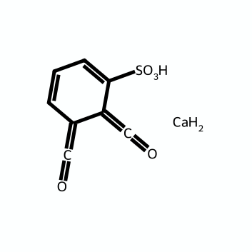 O=C=c1cccc(S(=O)(=O)O)c1=C=O.[CaH2]